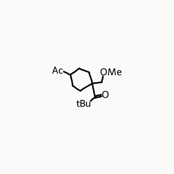 COCC1(C(=O)C(C)(C)C)CCC(C(C)=O)CC1